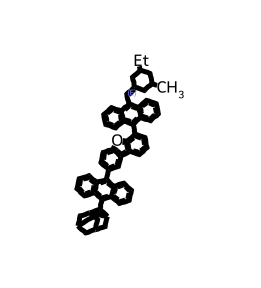 CCC1C/C(=C/c2c3ccccc3c(-c3cccc4c3oc3ccc(-c5c6ccccc6c(C6C7CC8CC(C7)CC6C8)c6ccccc56)cc34)c3ccccc23)CC(C)C1